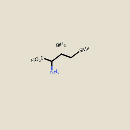 CSCCC(N)C(=O)O.[BiH3]